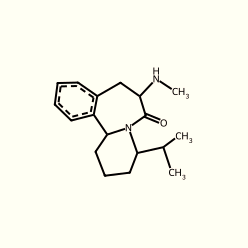 CNC1Cc2ccccc2C2CCCC(C(C)C)N2C1=O